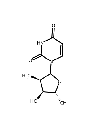 C[C@H]1OC(n2ccc(=O)[nH]c2=O)[C@H](C)[C@@H]1O